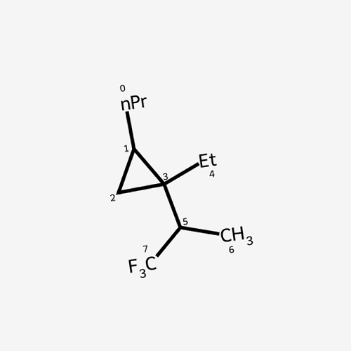 CCCC1CC1(CC)C(C)C(F)(F)F